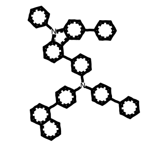 c1ccc(-c2ccc(N(c3ccc(-c4cccc5ccccc45)cc3)c3cccc(-c4cccc5c4c4cc(-c6ccccc6)ccc4n5-c4ccccc4)c3)cc2)cc1